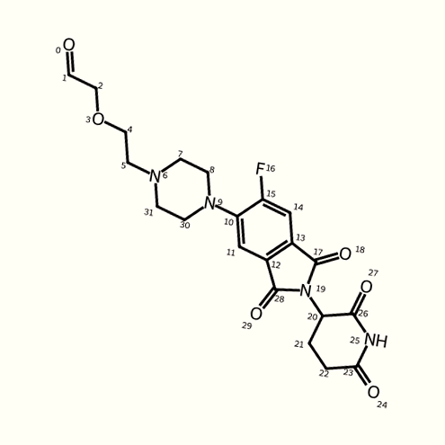 O=CCOCCN1CCN(c2cc3c(cc2F)C(=O)N(C2CCC(=O)NC2=O)C3=O)CC1